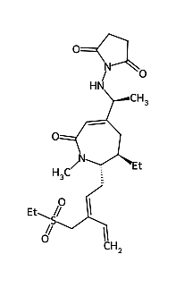 C=C/C(=C\C[C@H]1[C@H](CC)CC([C@H](C)NN2C(=O)CCC2=O)=CC(=O)N1C)CS(=O)(=O)CC